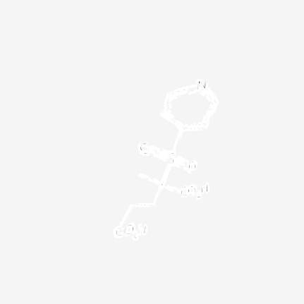 CC(CCC(=O)O)(C(=O)O)S(=O)(=O)c1ccncc1